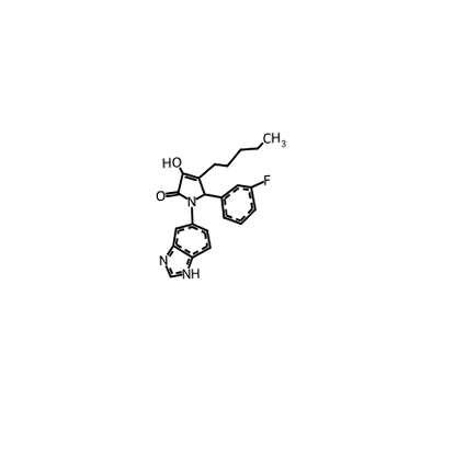 CCCCCC1=C(O)C(=O)N(c2ccc3[nH]cnc3c2)C1c1cccc(F)c1